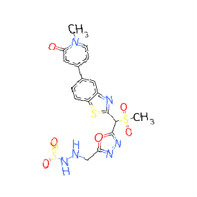 Cn1ccc(-c2ccc3sc(C(c4nnc(CNN[SH](=O)=O)o4)S(C)(=O)=O)nc3c2)cc1=O